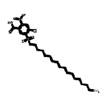 CCCCCCCCCCCCCCCCCCS(=O)(=O)c1cc(C(=O)O)c([N+](=O)[O-])cc1Cl